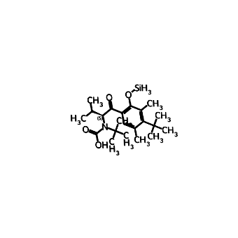 Cc1cc(C(=O)[C@H](C(C)C)N(C(=O)O)C(C)(C)C)c(O[SiH3])c(C)c1C(C)(C)C